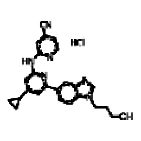 Cl.N#Cc1ccnc(Nc2cc(C3CC3)cc(-c3ccc4c(c3)ncn4CCCO)n2)c1